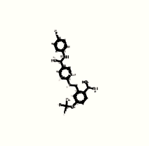 OB(O)c1ccc(OC(F)(F)F)cc1CSc1ncc(C(O)Nc2ccc(F)cc2)cn1